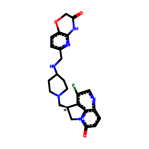 O=C1COc2ccc(CNC3CCN(C[C@@H]4Cn5c(=O)ccc6ncc(F)c4c65)CC3)nc2N1